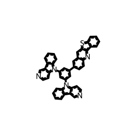 c1ccc2c(c1)sc1cc3cc(-c4cc(-n5c6ccccc6c6cnccc65)cc(-n5c6ccccc6c6cnccc65)c4)ccc3nc12